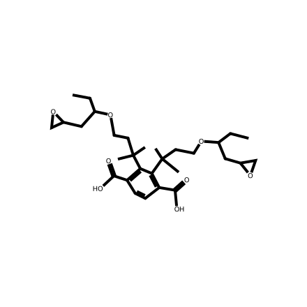 CCC(CC1CO1)OCCC(C)(C)c1c(C(=O)O)ccc(C(=O)O)c1C(C)(C)CCOC(CC)CC1CO1